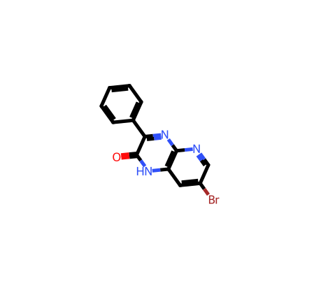 O=c1[nH]c2cc(Br)cnc2nc1-c1ccccc1